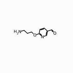 NCCCOc1ccc(C=O)cn1